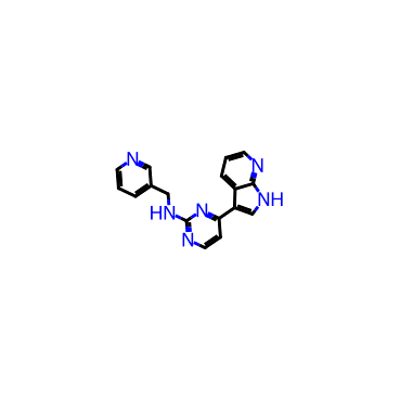 c1cncc(CNc2nccc(-c3c[nH]c4ncccc34)n2)c1